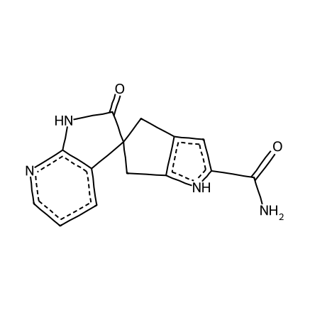 NC(=O)c1cc2c([nH]1)CC1(C2)C(=O)Nc2ncccc21